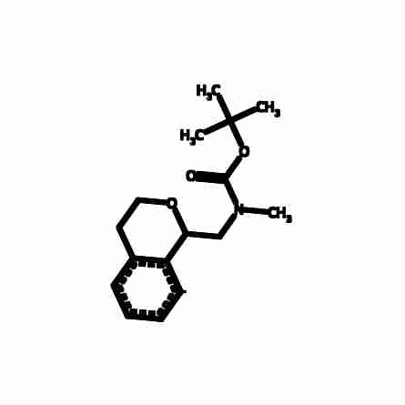 CN(CC1OCCc2ccc[c]c21)C(=O)OC(C)(C)C